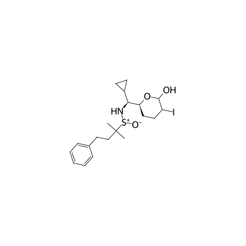 CC(C)(CCc1ccccc1)[S+]([O-])N[C@@H](C1CC1)[C@@H]1CCC(I)C(O)O1